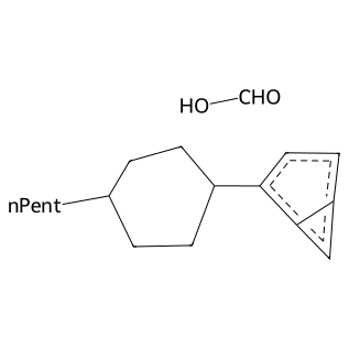 CCCCCC1CCC(c2ccc3cc2-3)CC1.O=CO